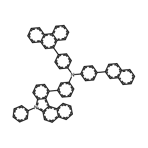 c1ccc(-n2c3cccc(-c4cccc(N(c5ccc(-c6ccc7ccccc7c6)cc5)c5ccc(-c6cc7ccccc7c7ccccc67)cc5)c4)c3c3c4ccccc4ccc32)cc1